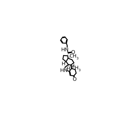 C[C@]12CC[C@H]3[C@@H](CNC4=CC(=O)CC[C@@]43C)[C@@H]1CC[C@@H]2C(=O)NCc1ccccc1